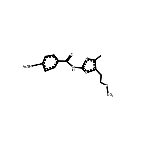 CC(=O)Nc1ccc(C(=O)Nc2nc(C)c(CCO[N+](=O)[O-])s2)cc1